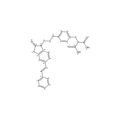 O=C(O)C(Cc1ccc(OCCn2c(=O)sc3cc(C=Cc4ccccc4)ccc32)cc1)C(=O)O